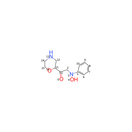 O=C(CN(O)c1ccccc1)C1CNCCO1